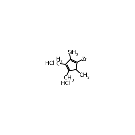 CC1=C(C)C(C)[C]([Zr])=C1[SiH3].Cl.Cl